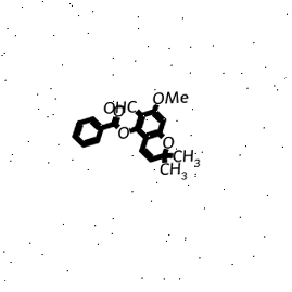 COc1cc2c(c(OC(=O)c3ccccc3)c1C=O)C=CC(C)(C)O2